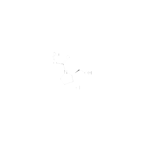 CC(C)(C)OC(=O)N1CC[C@@H](Cl)[C@@H]1CO